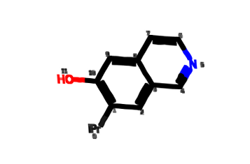 CC(C)c1cc2cnccc2cc1O